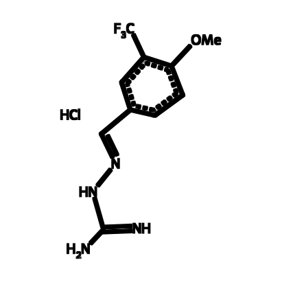 COc1ccc(/C=N/NC(=N)N)cc1C(F)(F)F.Cl